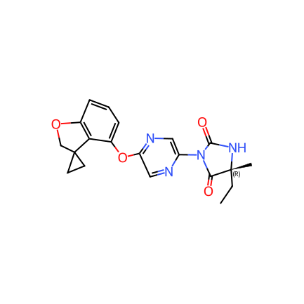 CC[C@@]1(C)NC(=O)N(c2cnc(Oc3cccc4c3C3(CC3)CO4)cn2)C1=O